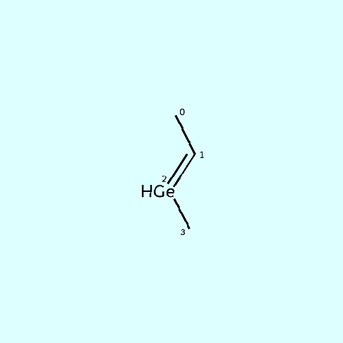 C[CH]=[GeH][CH3]